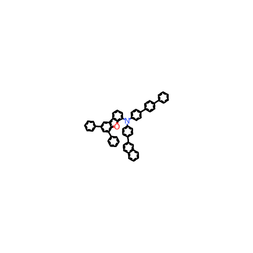 c1ccc(-c2ccc(-c3ccc(N(c4ccc(-c5ccc6ccccc6c5)cc4)c4cccc5c4oc4c(-c6ccccc6)cc(-c6ccccc6)cc45)cc3)cc2)cc1